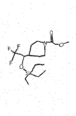 CC[Si](CC)(CC)OC(C1CCN(C(=O)OC)CC1)C(F)(F)F